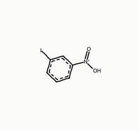 O=[N+](O)c1cccc(I)c1